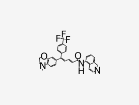 CN1CCOc2cc(C(=CC=CC(=O)Nc3cccc4cnccc34)c3ccc(C(F)(F)F)cc3)ccc21